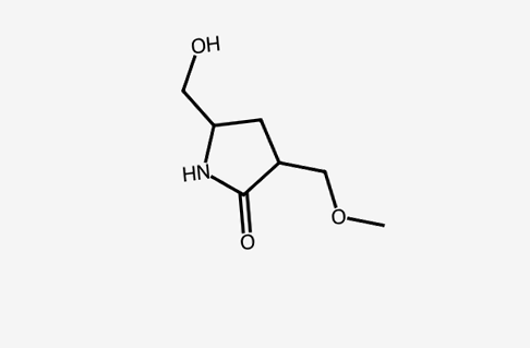 COCC1CC(CO)NC1=O